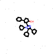 Oc1ccc(-c2ccccc2)cc1-c1nc(-c2ccccc2)c(-c2ccccc2)n1-c1ccccc1